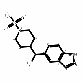 O=S(=O)(N1CCC(C(O)c2ccc3[nH]ncc3c2)CC1)C(F)(F)F